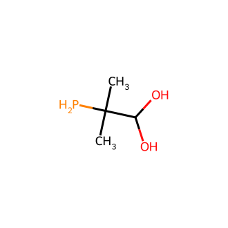 CC(C)(P)C(O)O